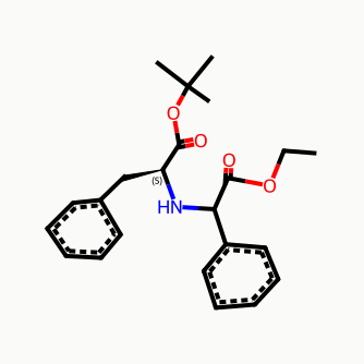 CCOC(=O)C(N[C@@H](Cc1ccccc1)C(=O)OC(C)(C)C)c1ccccc1